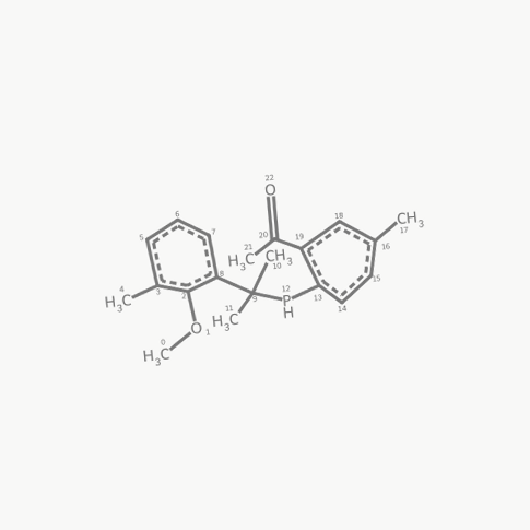 COc1c(C)cccc1C(C)(C)Pc1ccc(C)cc1C(C)=O